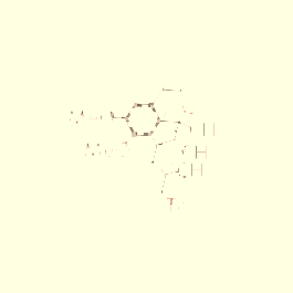 COc1cc2c(cc1OC)C(C)(C(C)CCC(C)CBr)OCC2